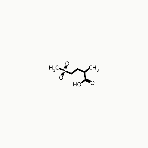 CC(CCS(C)(=O)=O)C(=O)O